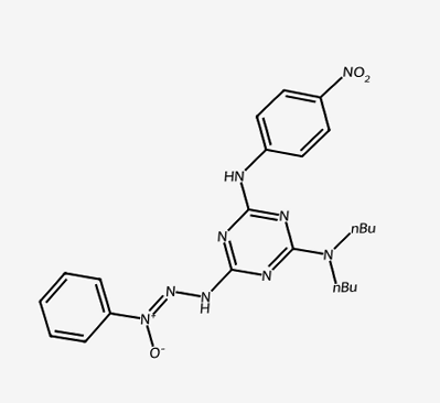 CCCCN(CCCC)c1nc(NN=[N+]([O-])c2ccccc2)nc(Nc2ccc([N+](=O)[O-])cc2)n1